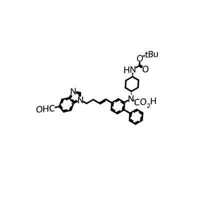 CC(C)(C)OC(=O)N[C@H]1CC[C@H](N(C(=O)O)c2cc(C=CCCn3cnc4cc(C=O)ccc43)ccc2-c2ccccc2)CC1